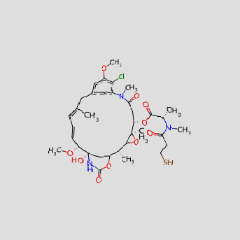 COc1cc2cc(c1Cl)N(C)C(=O)C[C@H](OC(=O)[C@H](C)N(C)C(=O)CCS)[C@@]1(C)OC1[C@H](C)C1C[C@@](O)(NC(=O)O1)[C@H](OC)/C=C/C=C(\C)C2